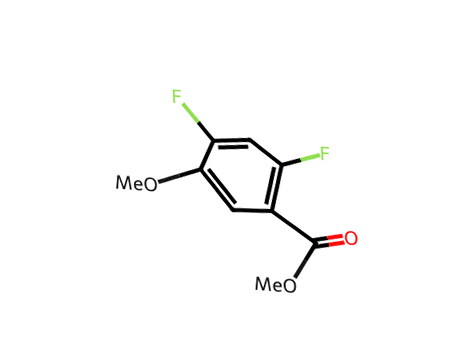 COC(=O)c1cc(OC)c(F)cc1F